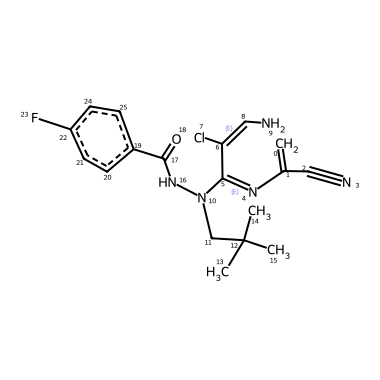 C=C(C#N)/N=C(\C(Cl)=C/N)N(CC(C)(C)C)NC(=O)c1ccc(F)cc1